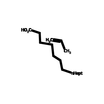 C=CC.CCCCCCCCCCCCCC(=O)O